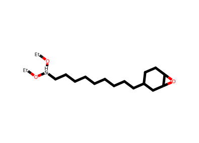 CCO[SiH](CCCCCCCCCC1CCC2OC2C1)OCC